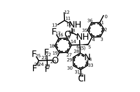 Cc1ccc(C[C@](NC(=O)NC(C)C)(c2cc(F)cc(OC(F)(F)C(F)F)c2)c2ccc(Cl)cn2)cc1